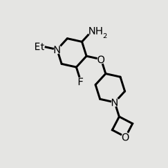 CCN1CC(N)C(OC2CCN(C3COC3)CC2)C(F)C1